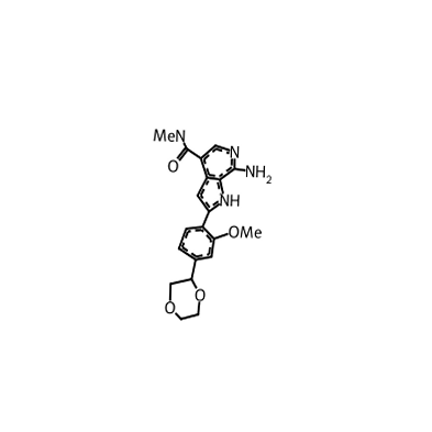 CNC(=O)c1cnc(N)c2[nH]c(-c3ccc(C4COCCO4)cc3OC)cc12